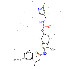 COc1cccc(C(C)CC(=O)Nc2sc3c(c2C#N)CCC(OC(=O)NCc2cnn(C)c2)C3)c1